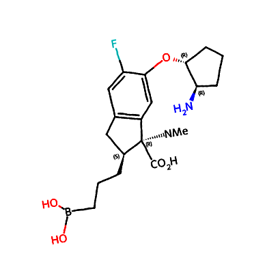 CN[C@@]1(C(=O)O)c2cc(O[C@@H]3CCC[C@H]3N)c(F)cc2C[C@@H]1CCCB(O)O